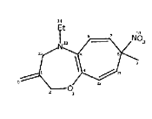 C=C1COC2=C(C=CC(C)([N+](=O)[O-])C=C2)N(CC)C1